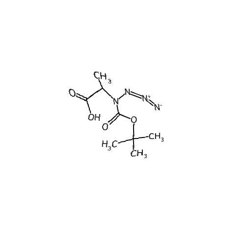 CC(C(=O)O)N(N=[N+]=[N-])C(=O)OC(C)(C)C